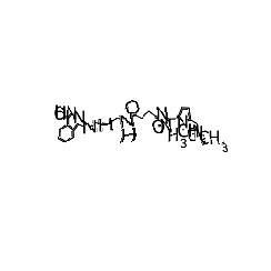 CN(C)Cc1ccc(-c2noc(CCC(=O)NCCCNc3n[nH]c(=O)c4ccccc34)n2)n1C